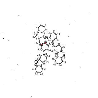 CC1(C)c2ccccc2-c2c(-c3ccccc3N(c3cccc(-c4ccc5c(c4)oc4ccccc45)c3)c3ccc4sc5ccccc5c4c3)cccc21